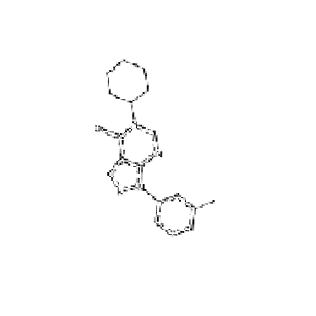 Cc1cccc(-n2ncc3c(=O)n(C4CCCCC4)cnc32)c1